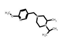 COc1ccc(CN2CCN(C(C)C)C(C)C2)cn1